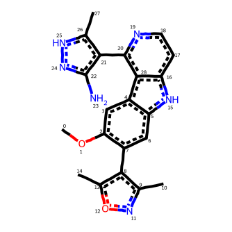 COc1cc2c(cc1-c1c(C)noc1C)[nH]c1ccnc(-c3c(N)n[nH]c3C)c12